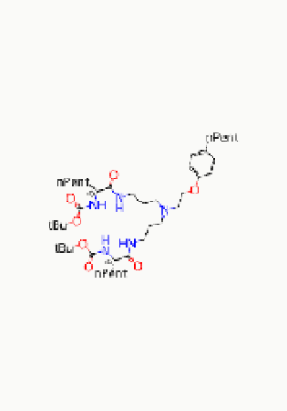 CCCCCc1ccc(OCCN(CCCNC(=O)[C@H](CCCCC)NC(=O)OC(C)(C)C)CCCNC(=O)[C@H](CCCCC)NC(=O)OC(C)(C)C)cc1